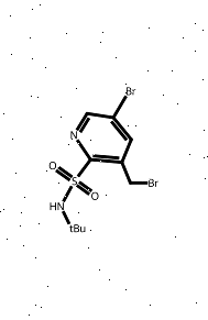 CC(C)(C)NS(=O)(=O)c1ncc(Br)cc1CBr